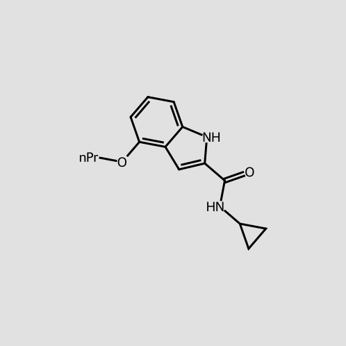 CCCOc1cccc2[nH]c(C(=O)NC3CC3)cc12